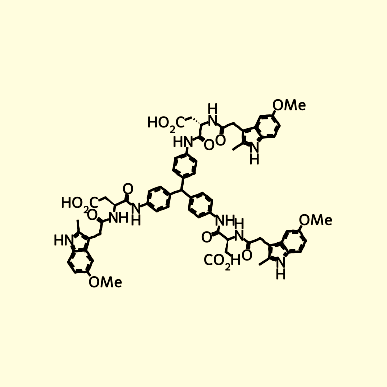 COc1ccc2[nH]c(C)c(CC(=O)N[C@@H](CC(=O)O)C(=O)Nc3ccc(C(c4ccc(NC(=O)[C@H](CC(=O)O)NC(=O)Cc5c(C)[nH]c6ccc(OC)cc56)cc4)c4ccc(NC(=O)[C@H](CC(=O)O)NC(=O)Cc5c(C)[nH]c6ccc(OC)cc56)cc4)cc3)c2c1